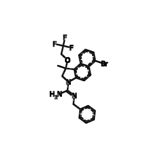 CC1(OCC(F)(F)F)CN(C(N)=NCc2ccccc2)c2ccc3c(Br)cccc3c21